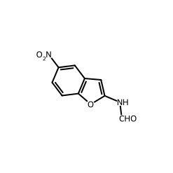 O=CNc1cc2cc([N+](=O)[O-])ccc2o1